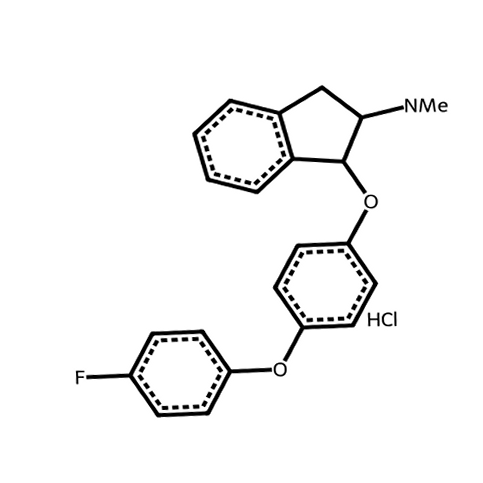 CNC1Cc2ccccc2C1Oc1ccc(Oc2ccc(F)cc2)cc1.Cl